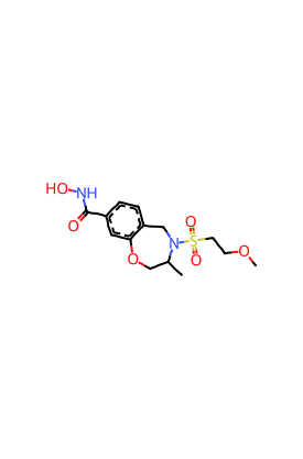 COCCS(=O)(=O)N1Cc2ccc(C(=O)NO)cc2OCC1C